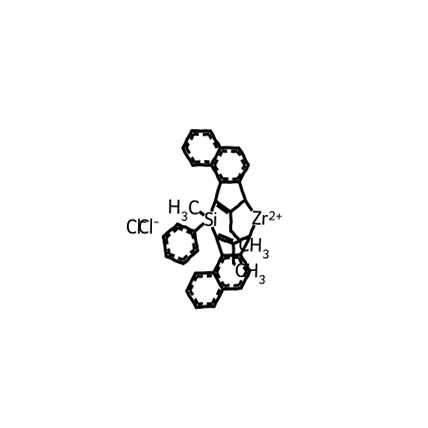 CCC1=C2c3c(ccc4ccccc34)[CH]1[Zr+2][CH]1C(CC)=C(c3c1ccc1ccccc31)[Si]2(C)c1ccccc1.[Cl-].[Cl-]